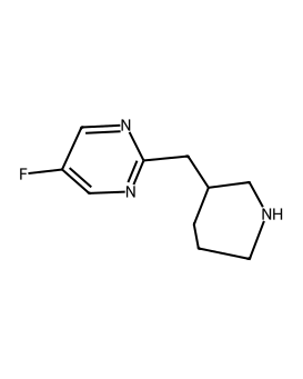 Fc1cnc(CC2CCCNC2)nc1